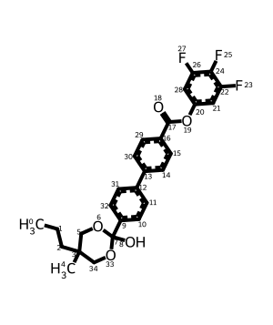 CCCC1(C)COC(O)(c2ccc(-c3ccc(C(=O)Oc4cc(F)c(F)c(F)c4)cc3)cc2)OC1